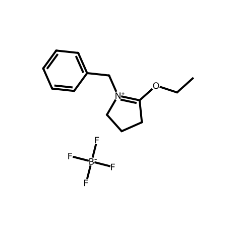 CCOC1=[N+](Cc2ccccc2)CCC1.F[B-](F)(F)F